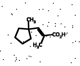 CC(=CC1(C)CCCC1)C(=O)O